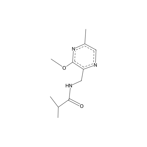 COc1nc(C)cnc1CNC(=O)C(C)C